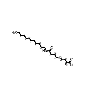 CCCCCCCCCCCCNC(=O)CCCOCCC(Cl)C(=O)O